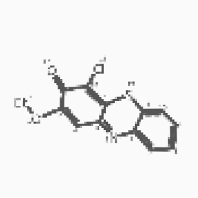 CCOc1cc2nc3ccccc3sc-2c(Cl)c1=O